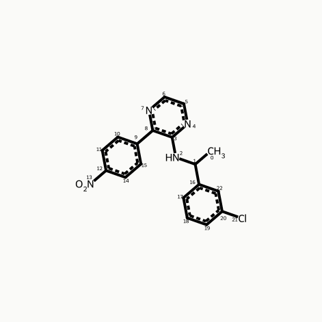 CC(Nc1nccnc1-c1ccc([N+](=O)[O-])cc1)c1cccc(Cl)c1